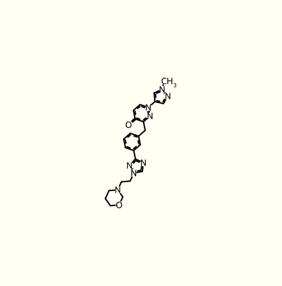 Cn1cc(-n2ccc(=O)c(Cc3cccc(-c4ncn(CCN5CCCOC5)n4)c3)n2)cn1